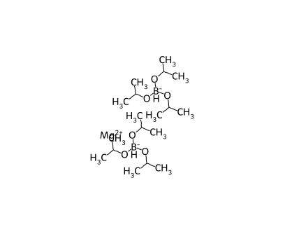 CC(C)O[BH-](OC(C)C)OC(C)C.CC(C)O[BH-](OC(C)C)OC(C)C.[Mg+2]